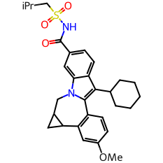 COc1ccc2c(c1)C1CC1Cn1c-2c(C2CCCCC2)c2ccc(C(=O)NS(=O)(=O)CC(C)C)cc21